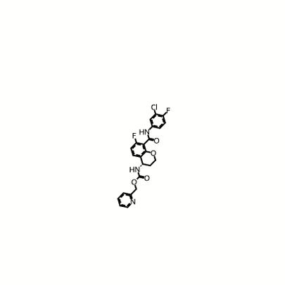 O=C(N[C@H]1CCOc2c1ccc(F)c2C(=O)Nc1ccc(F)c(Cl)c1)OCc1ccccn1